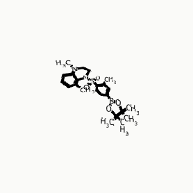 Cc1cc(B2OC(C)(C)C(C)(C)O2)ccc1S(=O)(=O)N1CCN(C)c2cccc(C)c21